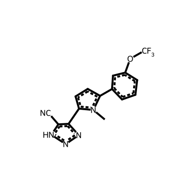 Cn1c(-c2cccc(OC(F)(F)F)c2)ccc1-c1nn[nH]c1C#N